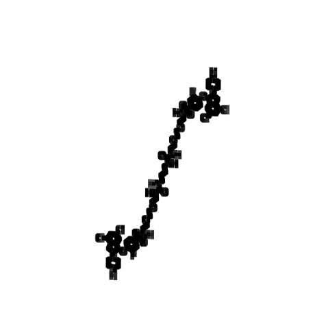 O=C(NCCCCNC(=O)NCCOCCOCCNS(=O)(=O)c1ccc(O[C@H]2c3cc(Cl)cc(Cl)c3C[C@@H]2N2CCNCC2)c(F)c1)NCCOCCOCCNS(=O)(=O)c1ccc(O[C@H]2c3cc(Cl)cc(Cl)c3C[C@@H]2N2CCNCC2)c(F)c1